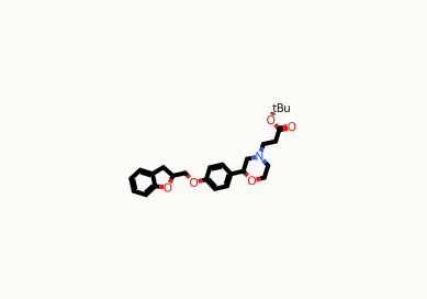 CC(C)(C)OC(=O)CCN1CCOC(c2ccc(OCC3Cc4ccccc4O3)cc2)C1